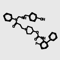 O=C(Nc1c(F)cccc1-c1ccccc1)OC1CCN(CCC(=O)N(CNCc2ccc(O)cc2)c2ccccc2)CC1